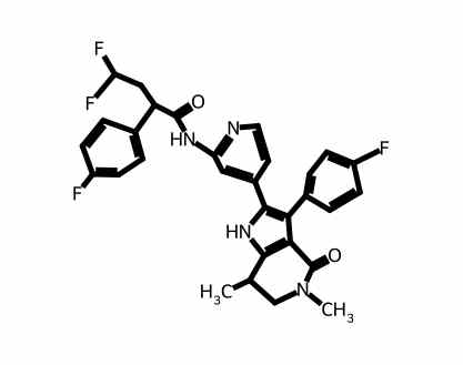 CC1CN(C)C(=O)c2c1[nH]c(-c1ccnc(NC(=O)C(CC(F)F)c3ccc(F)cc3)c1)c2-c1ccc(F)cc1